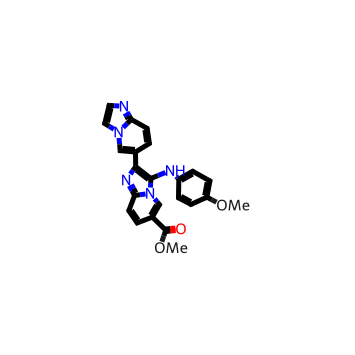 COC(=O)c1ccc2nc(-c3ccc4nccn4c3)c(Nc3ccc(OC)cc3)n2c1